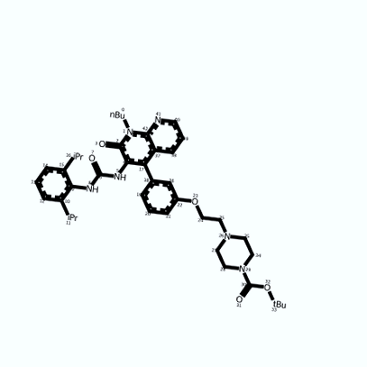 CCCCn1c(=O)c(NC(=O)Nc2c(C(C)C)cccc2C(C)C)c(-c2cccc(OCCN3CCN(C(=O)OC(C)(C)C)CC3)c2)c2cccnc21